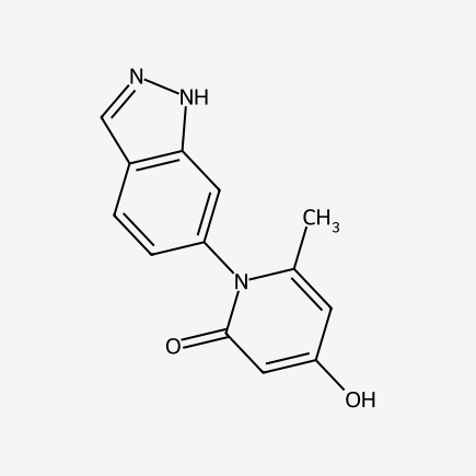 Cc1cc(O)cc(=O)n1-c1ccc2cn[nH]c2c1